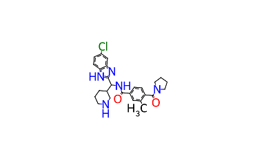 Cc1cc(C(=O)NC(c2nc3cc(Cl)ccc3[nH]2)C2CCCNC2)ccc1C(=O)N1CCCC1